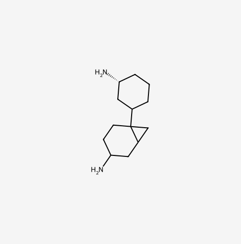 NC1CCC2(C3CCC[C@@H](N)C3)CC2C1